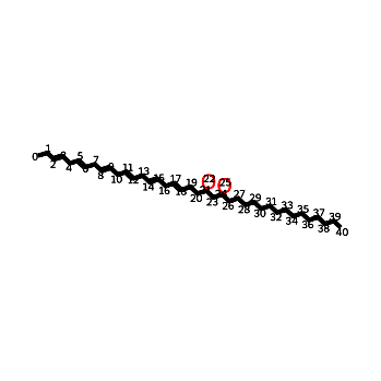 CCC=CCC=CCC=CCC=CCC=CCC=CCCC(=O)CC(=O)CCCCCCCCCCCCCCC